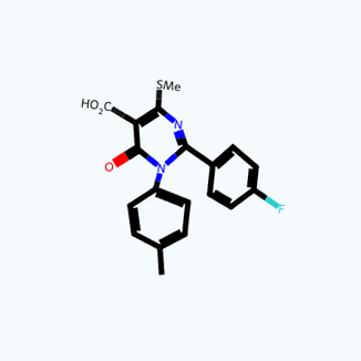 CSc1nc(-c2ccc(F)cc2)n(-c2ccc(C)cc2)c(=O)c1C(=O)O